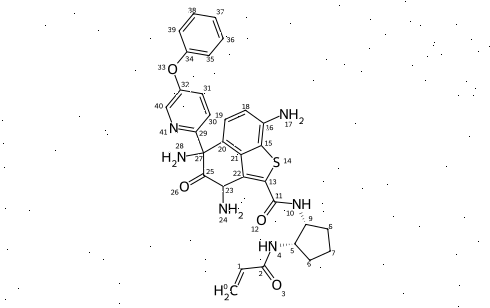 C=CC(=O)N[C@H]1CCC[C@H]1NC(=O)c1sc2c(N)ccc3c2c1C(N)C(=O)C3(N)c1ccc(Oc2ccccc2)cn1